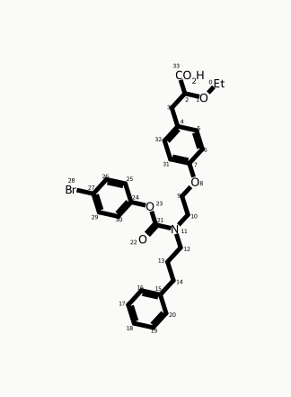 CCOC(Cc1ccc(OCCN(CCCc2ccccc2)C(=O)Oc2ccc(Br)cc2)cc1)C(=O)O